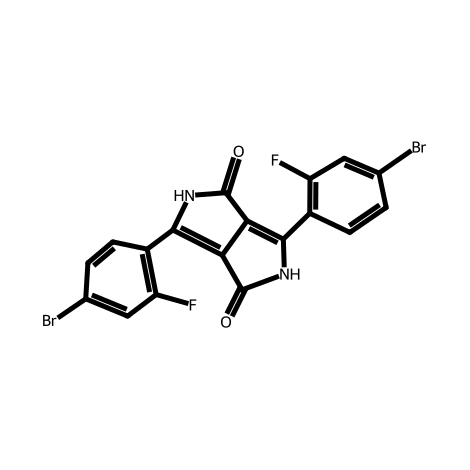 O=C1NC(c2ccc(Br)cc2F)=C2C(=O)NC(c3ccc(Br)cc3F)=C12